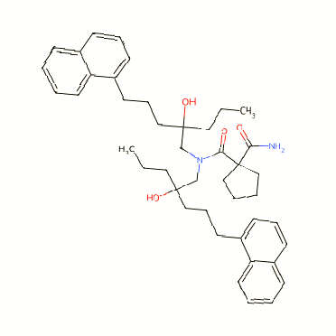 CCCC(O)(CCCc1cccc2ccccc12)CN(CC(O)(CCC)CCCc1cccc2ccccc12)C(=O)C1(C(N)=O)CCCC1